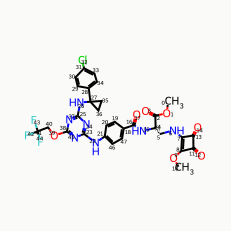 COC(=O)[C@H](CNc1c(OC)c(=O)c1=O)NC(=O)c1ccc(Nc2nc(NC3(c4ccc(Cl)cc4)CC3)nc(OCC(F)(F)F)n2)cc1